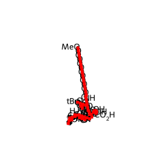 CC[C@H](C)[C@H](NC(=O)CN(C)Cc1ccc(O[C@@H]2O[C@H](C(=O)O)[C@@H](O)[C@H](O)[C@H]2O)c(NC(=O)CCNC(=O)[C@H](CCCCNC(=O)CCOCCOCCOCCOCCOCCOCCOCCOCCOCCOCCOCCOC)NC(=O)[C@H](CNC(=O)OC(C)(C)C)N2C(=O)C=CC2=O)c1)C(=O)N(C)[C@H](C[C@@H](OC(C)=O)c1nc(C(=O)N[C@@H](Cc2ccccc2)C[C@H](C)C(=O)O)cs1)C(C)C